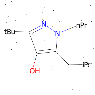 CCCn1nc(C(C)(C)C)c(O)c1CC(C)C